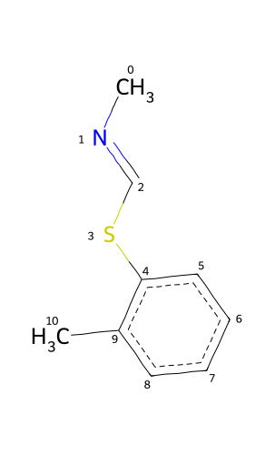 C/N=C/Sc1ccccc1C